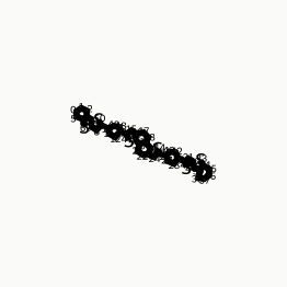 c1ccc2c(c1)sc1cc(-c3ccc(-c4cc5ccc6c(ccc7cc(-c8ccc(-c9cc%10sc%11ccccc%11c%10s9)cc8)sc76)c5s4)cc3)sc12